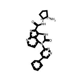 N[C@H]1CCC[C@H]1NC(=O)c1sc2nccc3c2c1NC(=O)N3c1cc(-c2ccccc2)cnn1